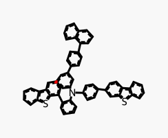 c1cc(-c2ccc(-c3cccc4ccccc34)cc2)cc(N(c2ccc(-c3ccc4c(c3)sc3ccccc34)cc2)c2ccccc2-c2cccc3c2sc2ccccc23)c1